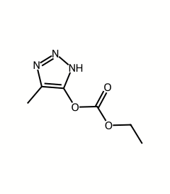 CCOC(=O)Oc1[nH]nnc1C